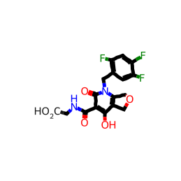 O=C(O)CNC(=O)c1c(O)c2c(n(Cc3cc(F)c(F)cc3F)c1=O)COC2